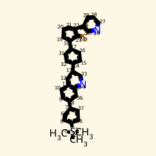 C[Si](C)(C)c1ccc(-c2ccc3cc(-c4ccc(-c5cccc6c5sc5ncccc56)cc4)cnc3c2)cc1